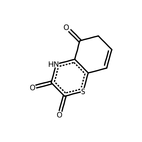 O=C1CC=Cc2sc(=O)c(=O)[nH]c21